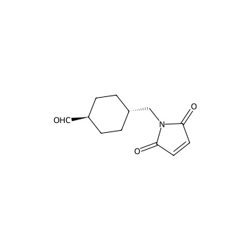 O=C[C@H]1CC[C@H](CN2C(=O)C=CC2=O)CC1